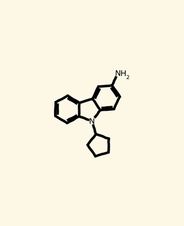 Nc1ccc2c(c1)c1ccccc1n2C1CCCC1